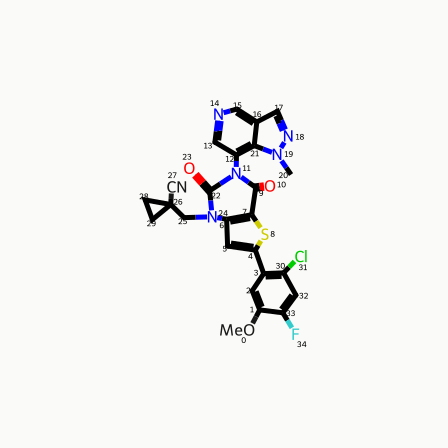 COc1cc(-c2cc3c(s2)c(=O)n(-c2cncc4cnn(C)c24)c(=O)n3CC2(C#N)CC2)c(Cl)cc1F